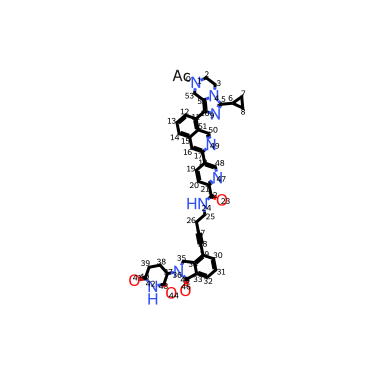 CC(=O)N1CCn2c(C3CC3)nc(-c3cccc4cc(-c5ccc(C(=O)NCCC#Cc6cccc7c6CN(C6CCC(=O)NC6=O)C7=O)nc5)ncc34)c2C1